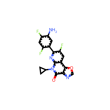 Nc1cc(-c2nc3c(cc2F)c2ocnc2c(=O)n3C2CC2)c(F)cc1F